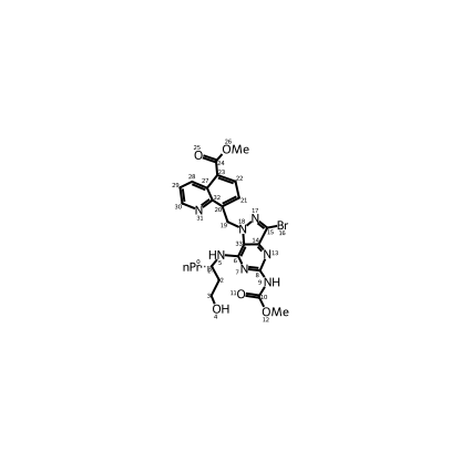 CCC[C@@H](CCO)Nc1nc(NC(=O)OC)nc2c(Br)nn(Cc3ccc(C(=O)OC)c4cccnc34)c12